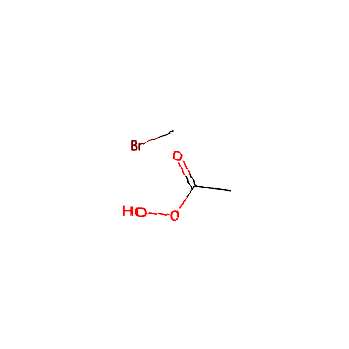 CBr.CC(=O)OO